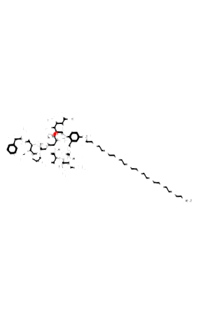 CC[C@H](C)[C@@H]([C@@H](CC(=O)N1CCC[C@H]1[C@H](OC)[C@@H](C)C(=O)N[C@H](C)[C@@H](O)c1ccccc1)OC)N(C)C(=O)[C@@H](NC(=O)[C@H](C(C)C)N(C)C(=O)OCc1cc(NC(=O)COCCOCCOCCOCCOCCOCCOCCOCCON)ccc1OC1OC(C(=O)O)C(O)C(O)C1O)C(C)C